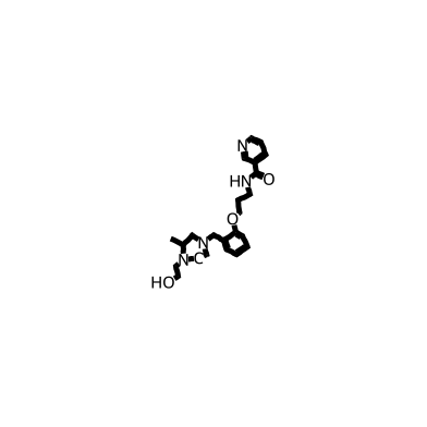 CC1CN(Cc2ccccc2OCCCNC(=O)c2cccnc2)CCN1CCO